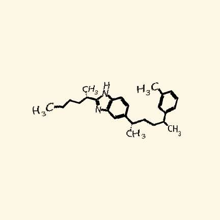 CCCC[C@H](C)c1nc2cc([C@@H](C)CCC(C)c3cccc(C)c3)ccc2[nH]1